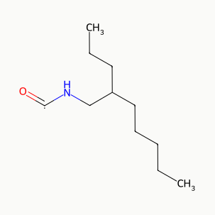 CCCCCC(CCC)CN[C]=O